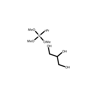 CCC[Si](OC)(OC)OC.OCC(O)CO